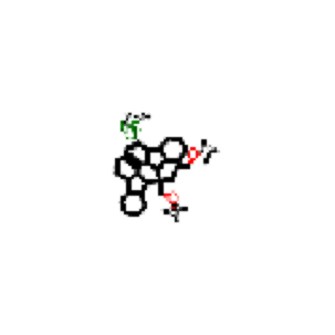 C[Si](C)(C)OCCCC(CO[Si](C)(C)C)(C1C2C=CC=CC2C2CCCCC21)C1C2C=CC=CC2C2CCCCC21.[Cl-].[Cl-].[Zr+2]